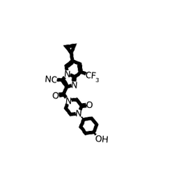 N#Cc1c(C(=O)N2CCN([C@H]3CC[C@H](O)CC3)C(=O)C2)nc2c(C(F)(F)F)cc(C3CC3)cn12